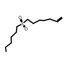 C=CCCCCCS(=O)(=O)CCCCCC